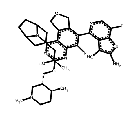 C[C@@H](O)CN1CC2CCC(C1)N2c1nc(OC[C@H]2CN(C)CC[C@@H]2C)nc2c(F)c(-c3ncc(F)c4sc(N)c(C#N)c34)c3c(c12)COC3